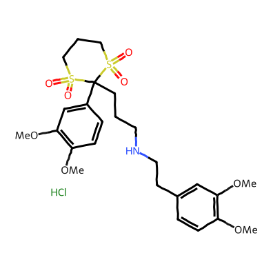 COc1ccc(CCNCCCC2(c3ccc(OC)c(OC)c3)S(=O)(=O)CCCS2(=O)=O)cc1OC.Cl